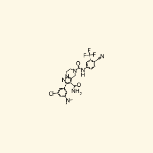 CN(C)c1cc(Cl)cc(-c2nn3c(c2C(N)=O)CN(C(=O)Nc2ccc(C#N)c(C(F)(F)F)c2)CC3)c1